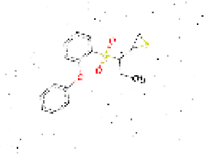 CCC(C1CS1)S(=O)(=O)c1ccccc1Oc1ccccc1